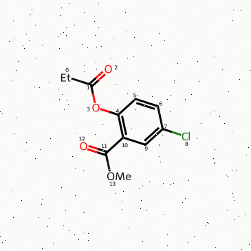 CCC(=O)Oc1ccc(Cl)cc1C(=O)OC